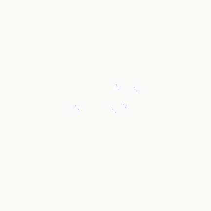 CN(N=C1CCCc2[nH]c3ccc(Cl)cc3c21)C1=NCCN1